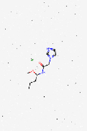 CCCC(NC(=O)C[n+]1cc[nH]c1)OC.[Br-]